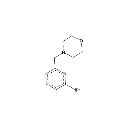 CC(C)c1cccc(CN2CCOCC2)n1